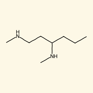 CCCC(CCNC)NC